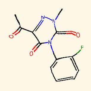 CC(=O)c1nn(C)c(=O)n(-c2ccccc2F)c1=O